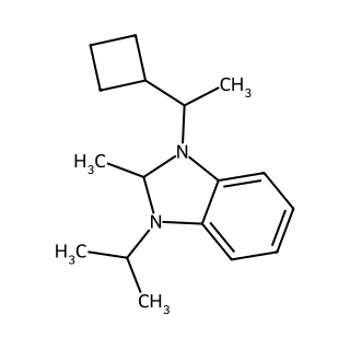 CC(C)N1c2ccccc2N(C(C)C2CCC2)C1C